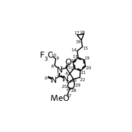 C=NC1=NC2(C(=O)N1CCC(F)(F)F)c1cc(CCC3CC3)ccc1CC21CCC(OC)CC1